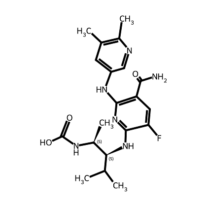 Cc1cc(Nc2nc(N[C@@H](C(C)C)[C@H](C)NC(=O)O)c(F)cc2C(N)=O)cnc1C